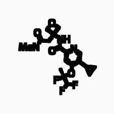 CNC(=O)CC1(NC(=O)c2cc(O[C@@](C)(F)C(F)F)c(C3CC3)cn2)COC1